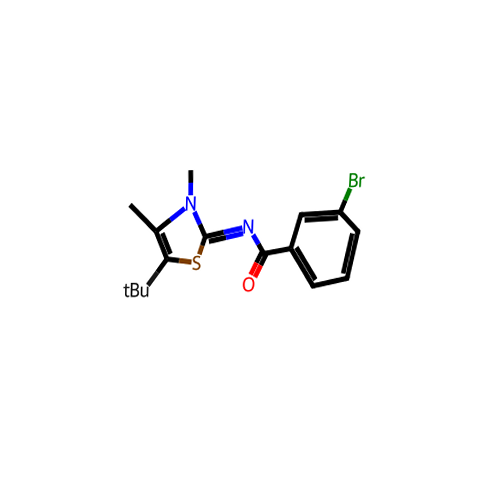 Cc1c(C(C)(C)C)s/c(=N\C(=O)c2cccc(Br)c2)n1C